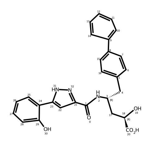 O=C(N[C@H](Cc1ccc(-c2ccccc2)cc1)C[C@@H](O)C(=O)O)c1cc(-c2ccccc2O)[nH]n1